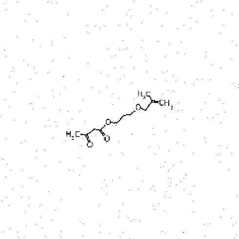 C=C(C)COCCCOC(=O)CC(C)=O